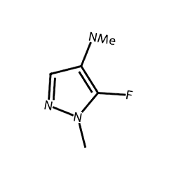 CNc1cnn(C)c1F